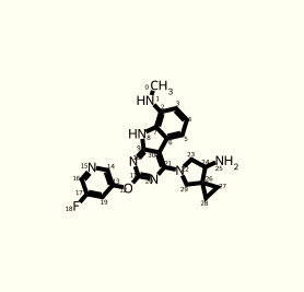 CNc1cccc2c1[nH]c1nc(Oc3cncc(F)c3)nc(N3CC(N)C4(CC4)C3)c12